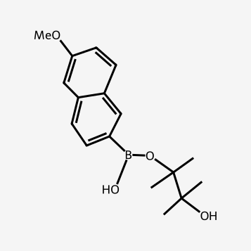 COc1ccc2cc(B(O)OC(C)(C)C(C)(C)O)ccc2c1